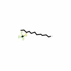 [CH2]CCCCCCCCC(CC)SC(F)(F)F